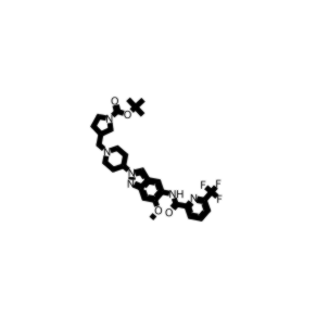 COc1cc2nn(C3CCN(CC4CCN(C(=O)OC(C)(C)C)C4)CC3)cc2cc1NC(=O)c1cccc(C(F)(F)F)n1